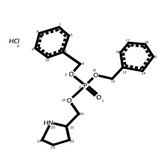 Cl.O=P(OCc1ccccc1)(OCc1ccccc1)OCC1CCCN1